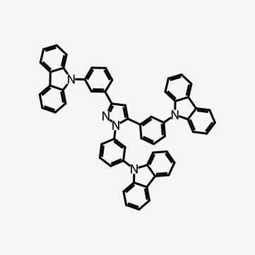 c1cc(-c2cc(-c3cccc(-n4c5ccccc5c5ccccc54)c3)n(-c3cccc(-n4c5ccccc5c5ccccc54)c3)n2)cc(-n2c3ccccc3c3ccccc32)c1